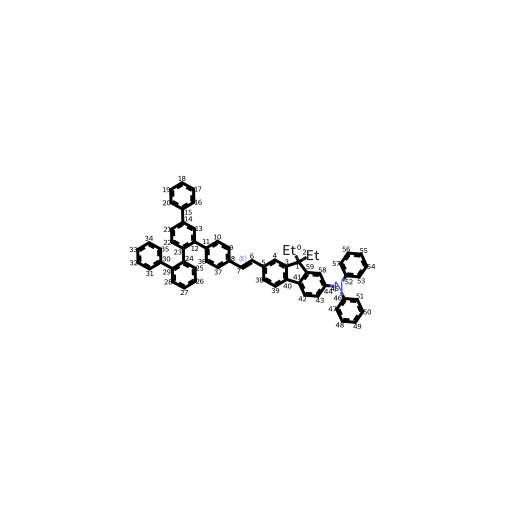 CCC1(CC)c2cc(/C=C/c3ccc(-c4cc(-c5ccccc5)ccc4-c4ccccc4-c4ccccc4)cc3)ccc2-c2ccc(N(c3ccccc3)c3ccccc3)cc21